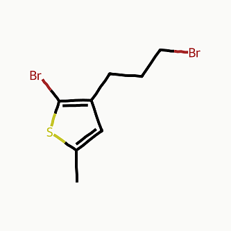 Cc1cc(CCCBr)c(Br)s1